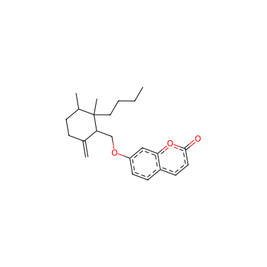 C=C1CCC(C)C(C)(CCCC)C1COc1ccc2ccc(=O)oc2c1